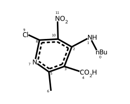 CCCCNc1c(C(=O)O)c(C)nc(Cl)c1[N+](=O)[O-]